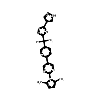 Cc1ccc(C)n1-c1ncc(-c2ccc(C(C)(c3noc(-c4cn[nH]c4)n3)C(C)C)cn2)cn1